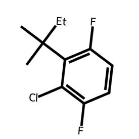 CCC(C)(C)c1c(F)ccc(F)c1Cl